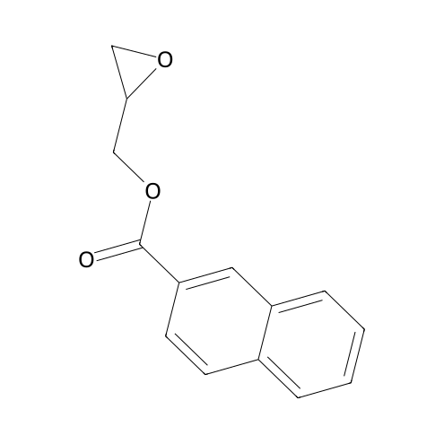 O=C(OCC1CO1)c1ccc2ccccc2c1